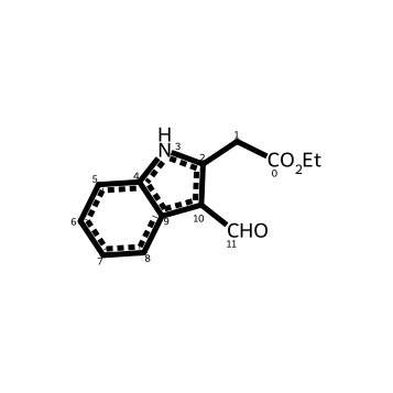 CCOC(=O)Cc1[nH]c2ccccc2c1C=O